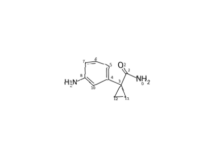 NC(=O)C1(c2cccc(N)c2)CC1